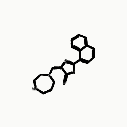 O=C1OC(c2cccc3ccccc23)=N/C1=C/N1CCCNCC1